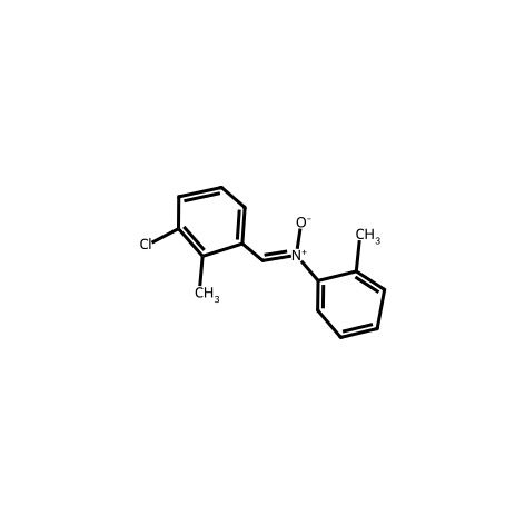 Cc1ccccc1[N+]([O-])=Cc1cccc(Cl)c1C